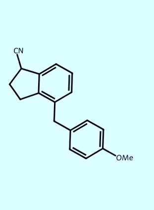 COc1ccc(Cc2cccc3c2CCC3C#N)cc1